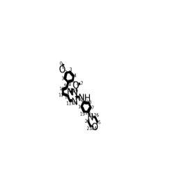 COc1ccc(OC)c(-c2ccc3cnc(Nc4ccc(N5CCOCC5)cc4)nn23)c1